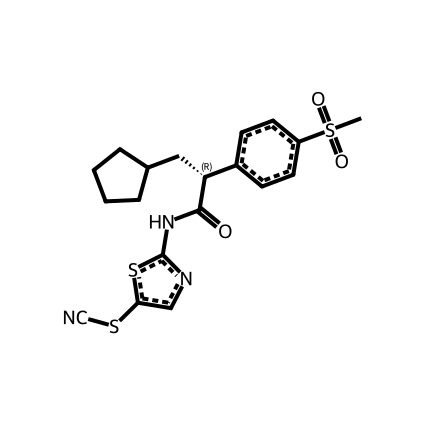 CS(=O)(=O)c1ccc([C@@H](CC2CCCC2)C(=O)Nc2ncc(SC#N)s2)cc1